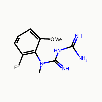 CCc1cccc(OC)c1N(C)C(=N)NC(=N)N